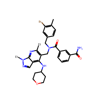 CCc1nc2c(cnn2CC)c(NC2CCOCC2)c1CN(Cc1ccc(C)c(Br)c1)C(=O)c1cccc(C(N)=O)c1